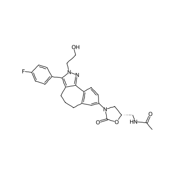 CC(=O)NC[C@H]1CN(c2ccc3c(c2)CCCc2c-3nn(CCO)c2-c2ccc(F)cc2)C(=O)O1